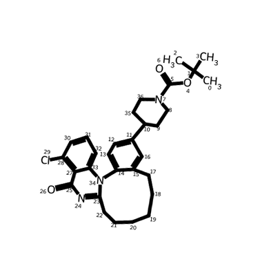 CC(C)(C)OC(=O)N1CCC(c2ccc3c(c2)CCCCCCc2nc(=O)c4c(Cl)cccc4n2-3)CC1